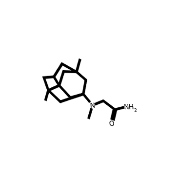 CN(CC(N)=O)C12CC3(C)CC4CC(C)(C1)C4(C3)C2